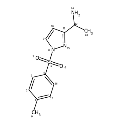 Cc1ccc(S(=O)(=O)n2ccc(C(C)N)n2)cc1